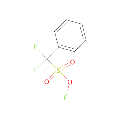 O=S(=O)(OF)C(F)(F)c1ccccc1